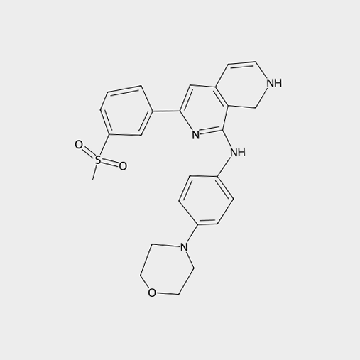 CS(=O)(=O)c1cccc(-c2cc3c(c(Nc4ccc(N5CCOCC5)cc4)n2)CNC=C3)c1